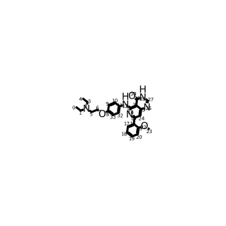 CCN(CC)CCOc1ccc(Nc2nc(-c3ccccc3OC)cc3nc[nH]c(=O)c23)cc1